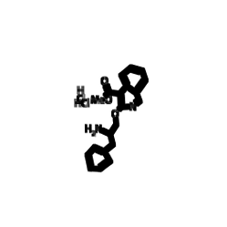 COC(=O)c1c(OCC(N)Cc2ccccc2)ncc2ccccc12.Cl.Cl